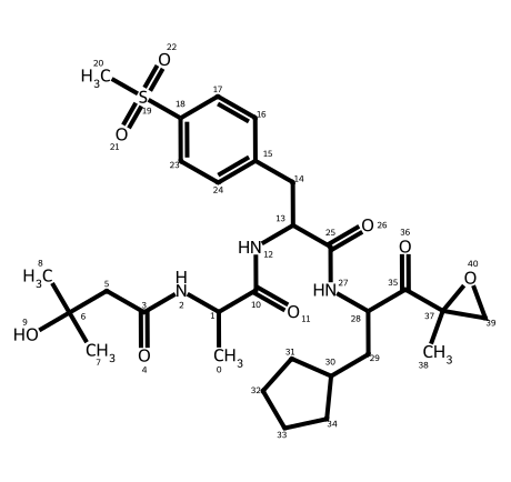 CC(NC(=O)CC(C)(C)O)C(=O)NC(Cc1ccc(S(C)(=O)=O)cc1)C(=O)NC(CC1CCCC1)C(=O)C1(C)CO1